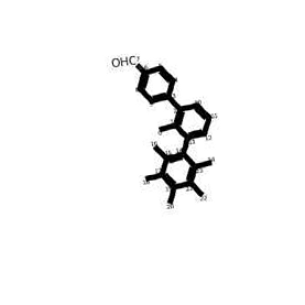 Cc1c(-c2ccc(C=O)cc2)cccc1-c1c(C)c(C)c(C)c(C)c1C